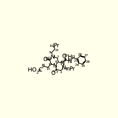 CCCN1CC(=O)N2C(CN(CCC(C)C)C(=O)[C@@H]2CCC(=O)O)N1C(=O)NCc1ccccc1